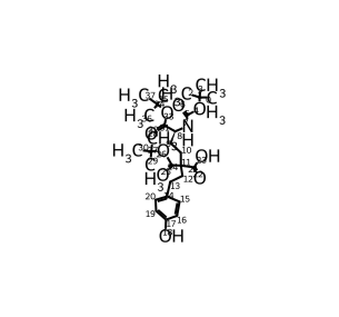 CC(C)(C)OC(=O)N[C@@H](CCC(CCc1ccc(O)cc1)(C(=O)O)C(=O)OC(C)(C)C)C(=O)OC(C)(C)C